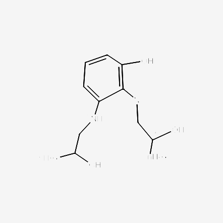 CCCCCCC(O)CNc1cccc(O)c1NCC(O)CCCCCC